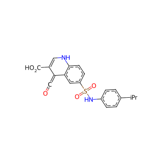 CC(C)c1ccc(NS(=O)(=O)c2ccc3c(c2)C(=C=O)C(C(=O)O)=CN3)cc1